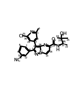 Cc1cc(-c2c(-c3cccc(C#N)c3)nn3ccc(C(=O)N[C@H](C)C(C)(C)O)nc23)cc(Cl)n1